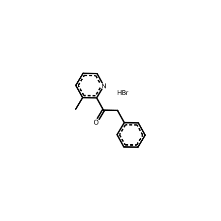 Br.Cc1cccnc1C(=O)Cc1ccccc1